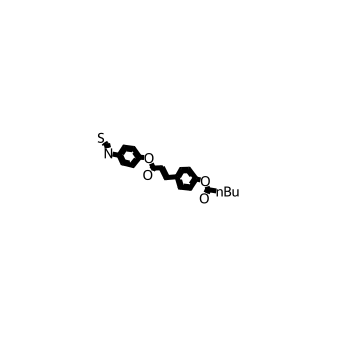 CCCCC(=O)Oc1ccc(/C=C/C(=O)Oc2ccc(N=C=S)cc2)cc1